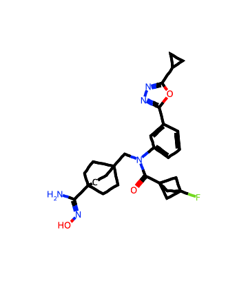 N/C(=N\O)C12CCC(CN(C(=O)C34CC(F)(C3)C4)c3cccc(-c4nnc(C5CC5)o4)c3)(CC1)CC2